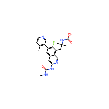 CNC(=O)Nc1cc2cc(-c3cnccc3C)c(F)c(CC(C)(C)NC(=O)O)c2cn1